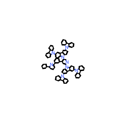 c1ccc(-c2cccc(-c3cccc(-c4cc(-n5c6ccc(-n7c8ccccc8c8ccccc87)cc6c6cc(-n7c8ccccc8c8ccccc87)ccc65)ncc4-n4c5ccc(-n6c7ccccc7c7ccccc76)cc5c5cc(-n6c7ccccc7c7ccccc76)ccc54)c3)n2)cc1